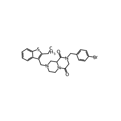 CCc1sc2ccccc2c1CN1CCN2C(=O)CN(Cc3ccc(Br)cc3)C(=O)C2C1